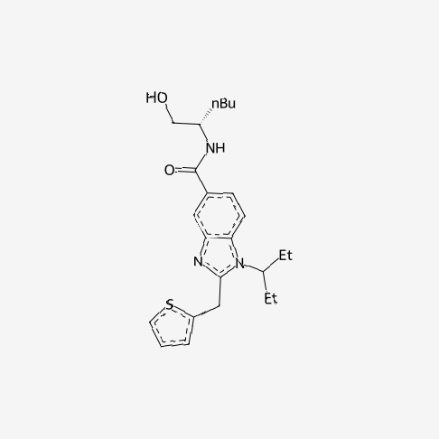 CCCC[C@@H](CO)NC(=O)c1ccc2c(c1)nc(Cc1cccs1)n2C(CC)CC